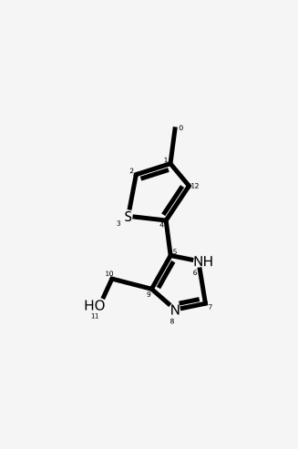 Cc1csc(-c2[nH]cnc2CO)c1